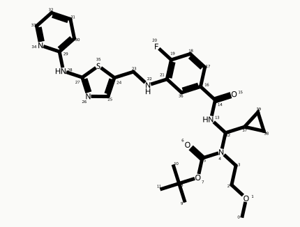 COCCN(C(=O)OC(C)(C)C)C(NC(=O)c1ccc(F)c(NCc2cnc(Nc3ccccn3)s2)c1)C1CC1